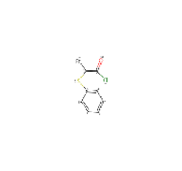 CCC(Sc1ccccc1)C(=O)Cl